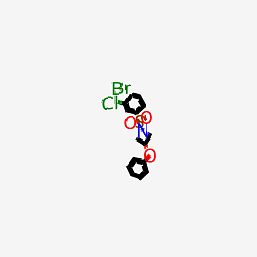 O=S(=O)(c1ccc(Br)c(Cl)c1)N1CC(Oc2ccccc2)C1